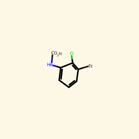 CCc1cccc(NC(=O)O)c1Cl